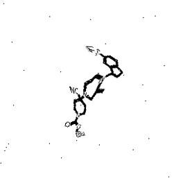 CC1CN(C2(C#N)CCN(C(=O)OC(C)(C)C)CC2)CCN1C1CCc2ccc(C(F)(F)F)cc21